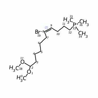 COC(CCCCC/C=C\CCC[P+](C)(C)C)OC.[Br-]